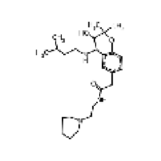 CC(C)CCNC1c2cc(CC(=O)NCCN3CCCCC3)ccc2OC(C)(C)C1O